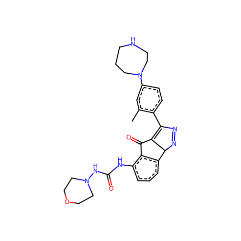 Cc1cc(N2CCCNCC2)ccc1C1=C2C(=O)c3c(NC(=O)NN4CCOCC4)cccc3C2N=N1